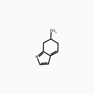 CC1CC=C2C=CN=C2C1